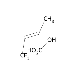 CC=CC(F)(F)F.O=C(O)O